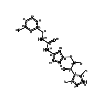 Cc1n[nH]c(C)c1C(=O)N(C)Cc1nsc(NC(=O)NCc2cccc(F)c2)n1